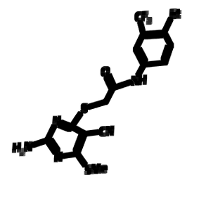 CCc1ccc(NC(=O)CSc2nc(N)nc(SC)c2C#N)cc1C(F)(F)F